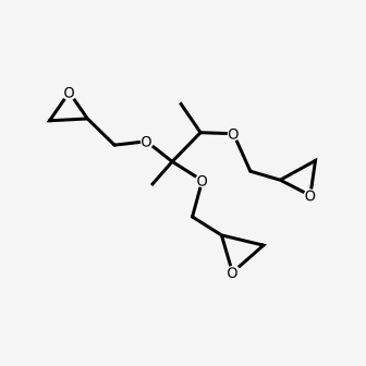 CC(OCC1CO1)C(C)(OCC1CO1)OCC1CO1